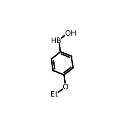 CCOc1ccc(BO)cc1